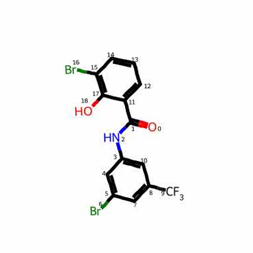 O=C(Nc1cc(Br)cc(C(F)(F)F)c1)c1cccc(Br)c1O